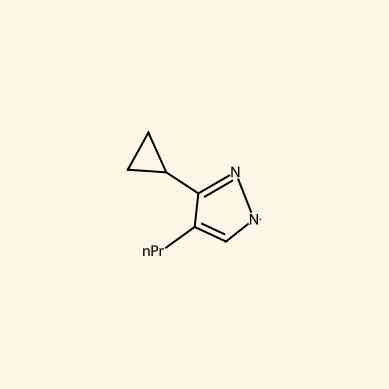 CCCC1=C[N]N=C1C1CC1